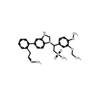 CCOc1cc(C(CS(C)(=O)=O)N2CNc3cc(-c4ccccc4C/C=N\C)ccc32)ccc1OC